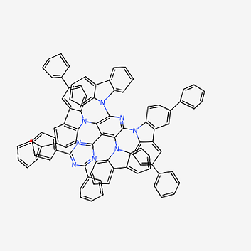 c1ccc(-c2ccc3c(c2)c2cc(-c4ccccc4)ccc2n3-c2nc(-n3c4ccccc4c4ccccc43)c(-n3c4ccc(-c5ccccc5)cc4c4cc(-c5ccccc5)ccc43)c(-c3nc(-c4ccccc4)nc(-c4ccccc4)n3)c2-n2c3ccccc3c3ccccc32)cc1